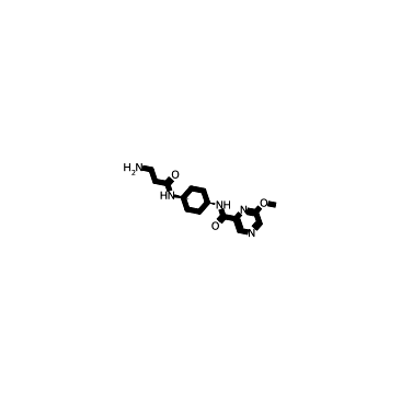 COc1cncc(C(=O)N[C@H]2CC[C@H](NC(=O)CCN)CC2)n1